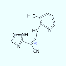 Cc1cccnc1N/C=C(/C#N)c1nnn[nH]1